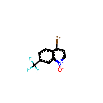 [O-][n+]1ccc(Br)c2ccc(C(F)(F)F)cc21